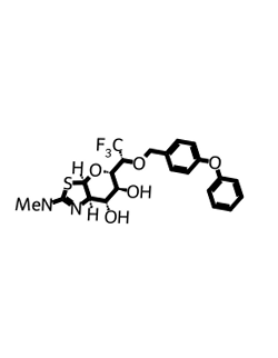 CNC1=N[C@@H]2[C@@H](O)[C@H](O)[C@@H]([C@@H](OCc3ccc(Oc4ccccc4)cc3)C(F)(F)F)O[C@@H]2S1